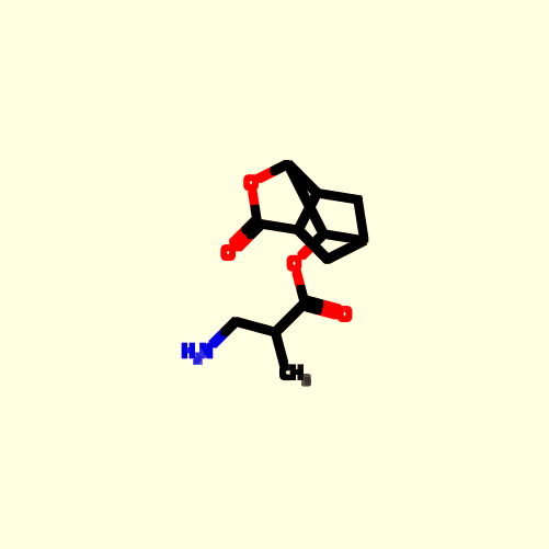 CC(CN)C(=O)OC1C2CC3C(=O)OC1C3C2